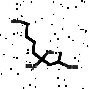 CCCCCCCCCCCCCCC(CCCC)(CC(C)CCCCCC)C(=O)O